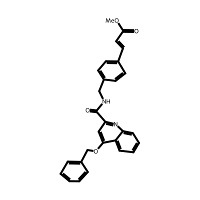 COC(=O)/C=C/c1ccc(CNC(=O)c2cc(OCc3ccccc3)c3ccccc3n2)cc1